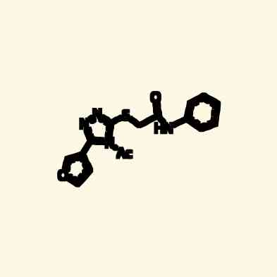 CC(=O)n1c(SCC(=O)Nc2ccccc2)nnc1-c1ccoc1